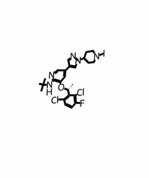 C[C@@H](Oc1cc(-c2cnn(C3CCN(I)CC3)c2)cnc1NC(C)(C)C)c1c(Cl)ccc(F)c1Cl